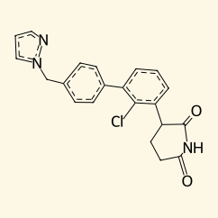 O=C1CCC(c2cccc(-c3ccc(Cn4cccn4)cc3)c2Cl)C(=O)N1